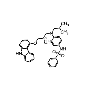 CC(C)CN(C[C@H](O)COc1cccc2[nH]c3ccccc3c12)c1ccc(NS(=O)(=O)c2ccccc2)cc1